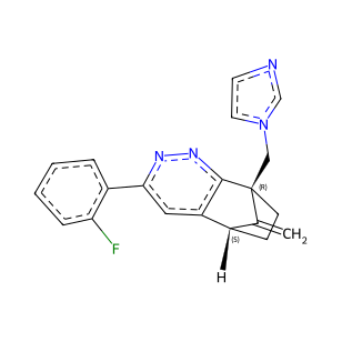 C=C1[C@@H]2CC[C@@]1(Cn1ccnc1)c1nnc(-c3ccccc3F)cc12